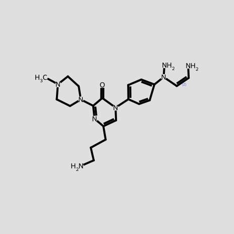 CN1CCN(c2nc(CCCN)cn(-c3ccc(N(N)/C=C\N)cc3)c2=O)CC1